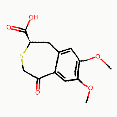 COc1cc2c(cc1OC)C(=O)CS[C@@H](C(=O)O)C2